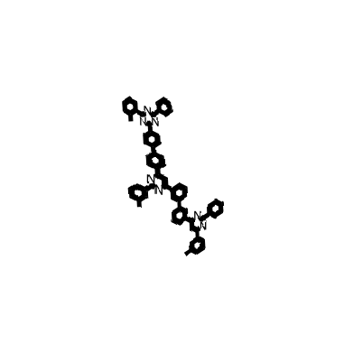 Cc1cccc(-c2cc(-c3cccc(-c4cccc(-c5cc(-c6ccc(-c7ccc(-c8nc(-c9ccccc9)nc(-c9ccccc9C)n8)cc7)cc6)nc(-c6cccc(C)c6)n5)c4)c3)nc(-c3ccccc3)n2)c1